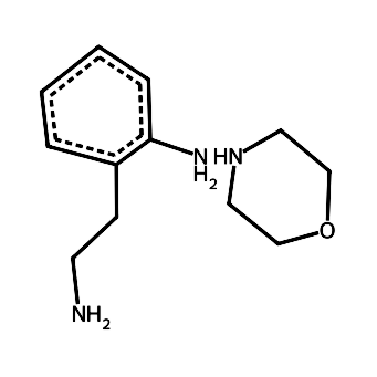 C1COCCN1.NCCc1ccccc1N